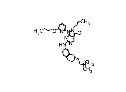 C/C=C/Cn1c(=O)c2cnc(Nc3ccc4c(c3)CN(CCN(C)C)CC4)nc2n1-c1cccc(OCCCC)n1